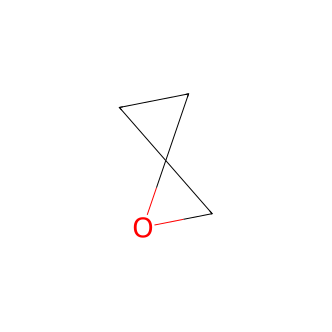 C1CC12CO2